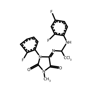 CN1C(=O)C(=NC(Nc2ccc(F)cc2F)C(Cl)(Cl)Cl)N(c2ccccc2F)C1=O